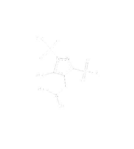 Cc1c(CN(C)C)c(S(=O)(=O)C(F)(F)F)nn1S(=O)(=O)C(F)(F)F